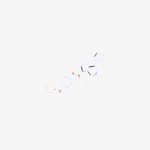 O=C(C(=O)N1CCN(C(=O)C2CCCO2)CC1)c1c[nH]c2c(-n3ccnn3)ncc(F)c12